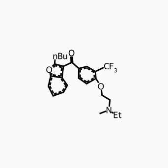 CCCCc1oc2ccccc2c1C(=O)c1ccc(OCCN(C)CC)c(C(F)(F)F)c1